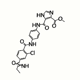 CCS(=N)(=O)c1ccc(C(=O)Nc2ccc(NC(=O)c3[nH]cnc3C(=O)OC)cc2)c(Cl)c1